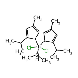 CC1=C[CH]([Ti]([Cl])([Cl])([CH]2C=C(C)C=C2C(C)C)[SiH](C)C)C(C(C)C)=C1